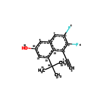 C#Cc1c(F)c(F)cc2cc(O)cc(C(C)(C)C)c12